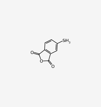 O=C1OC(=O)c2cc([SiH3])ccc21